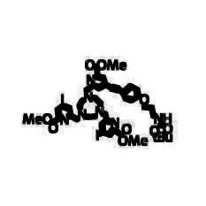 COC(=O)c1cc(I)cc(CN2CCN(Cc3cc(I)cc(C(=O)OC)n3)CCN(Cc3cc(C#Cc4ccc(OCCCNC(=O)OC(C)(C)C)cc4)cc(C(=O)OC)n3)CC2)n1